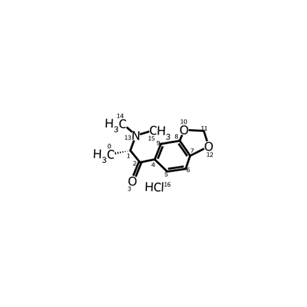 C[C@@H](C(=O)c1ccc2c(c1)OCO2)N(C)C.Cl